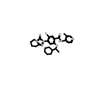 Cc1cnccc1NC(=O)c1cc(F)c(-n2nc3n(c2=O)CCCC3)cc1OC(C)C1CCCCC1